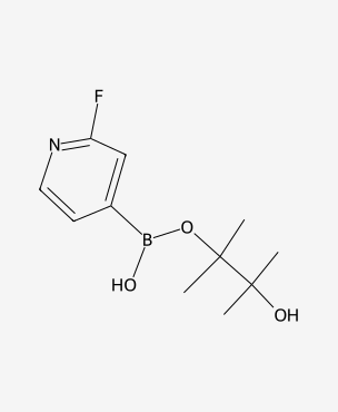 CC(C)(O)C(C)(C)OB(O)c1ccnc(F)c1